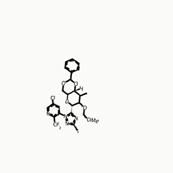 COCOC1C(C)[C@H]2OC(c3ccccc3)OCC2O[C@H]1c1nc(I)nn1-c1cc(Cl)cnc1C(F)(F)F